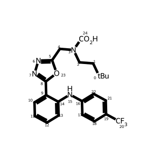 CC(C)(C)CCN(Cc1nnc(-c2ccccc2Nc2ccc(C(F)(F)F)cc2)o1)C(=O)O